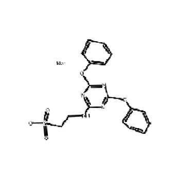 O=S(=O)([O-])CCNc1nc(Oc2ccccc2)nc(Oc2ccccc2)n1.[Na+]